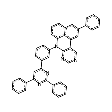 c1ccc(-c2cc3c4c(cccc4c2)N(c2cccc(-c4cc(-c5ccccc5)nc(-c5ccccc5)n4)c2)c2ncncc2-3)cc1